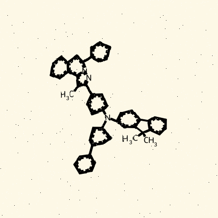 Cc1c(-c2ccc(N(c3ccc(-c4ccccc4)cc3)c3ccc4c(c3)C(C)(C)c3ccccc3-4)cc2)nn2c(-c3ccccc3)cc3ccccc3c12